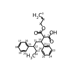 C=CCOC(=O)C(C(=O)O)C(CC(CC)c1ccccc1)c1ccccc1